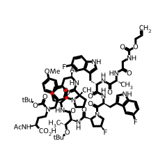 C=CCOC(=O)NCC(=O)N[C@H](C)C(=O)N[C@@H](Cc1c[nH]c2ccc(F)cc12)C(=O)N[C@@H](Cc1c[nH]c2ccc(F)cc12)C(=O)N1C[C@@H](F)C[C@H]1C(=O)N[C@H](C(=O)N[C@@H](Cc1ccc(OC)cc1)C(=O)N1CCC[C@@]1(C)C(=O)N[C@@H](Cc1ccc(CN(CC[C@H](NC(C)=O)C(=O)O)C(=O)OC(C)(C)C)cc1)C(C)=O)[C@@H](C)OC(C)(C)C